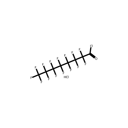 Cl.O=C(Cl)C(F)(F)C(F)(F)C(F)(F)C(F)(F)C(F)(F)C(F)(F)C(F)(F)F